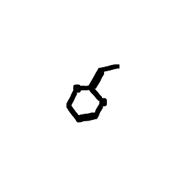 CC=C1OC=CCO1